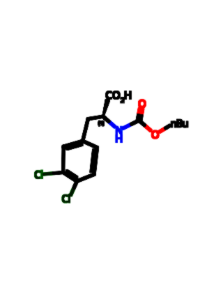 CCCCOC(=O)N[C@@H](Cc1ccc(Cl)c(Cl)c1)C(=O)O